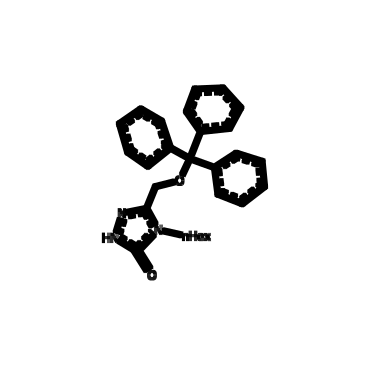 CCCCCCn1c(COC(c2ccccc2)(c2ccccc2)c2ccccc2)n[nH]c1=O